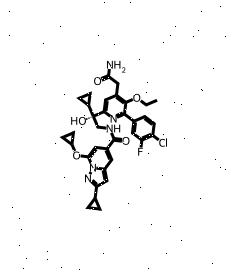 CCOc1c(CC(N)=O)cc([C@@](O)(CNC(=O)c2cc(OC3CC3)n3nc(C4CC4)cc3c2)C2CC2)nc1-c1ccc(Cl)c(F)c1